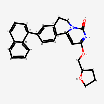 O=c1nc(OCC2CCCO2)cc2n1CCc1cc(-c3cccc4ccccc34)ccc1-2